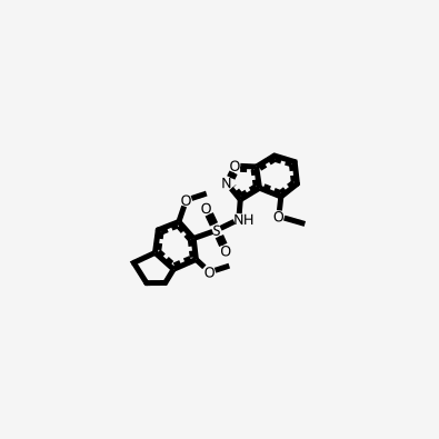 COc1cc2c(c(OC)c1S(=O)(=O)Nc1noc3cccc(OC)c13)CCC2